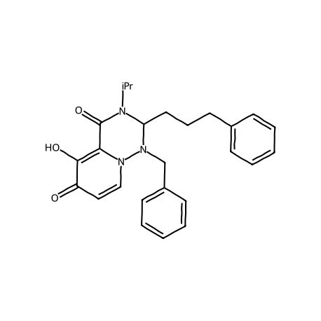 CC(C)N1C(=O)c2c(O)c(=O)ccn2N(Cc2ccccc2)C1CCCc1ccccc1